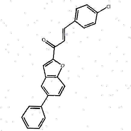 O=C(/C=C/c1ccc(Cl)cc1)c1cc2cc(-c3ccccc3)ccc2o1